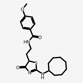 COc1ccc(C(=O)NCCC2SC(NC3CCCCCCC3)=NC2=O)cc1